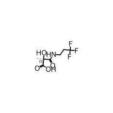 C[C@@](O)(C(=O)O)C(=O)NCCC(F)(F)F